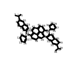 CC(C)c1ccc2cc(N(c3ccccc3)c3ccc4ccc5c(N(c6ccccc6)c6ccc7cc(C(C)C)ccc7c6)ccc6ccc3c4c65)ccc2c1